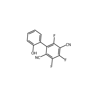 N#Cc1c(F)c(F)c(C#N)c(-c2ccccc2O)c1F